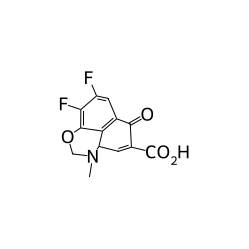 CN1COc2c(F)c(F)cc3c2C1C=C(C(=O)O)C3=O